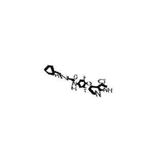 O=C(NCc1ccccc1)Nc1cc(F)c(Oc2ccnc3[nH]cc(Cl)c23)c(F)c1